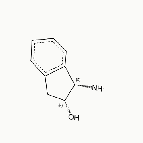 [NH][C@H]1c2ccccc2C[C@H]1O